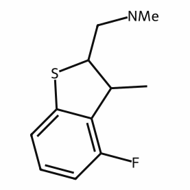 CNCC1Sc2cccc(F)c2C1C